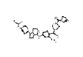 Cc1cc(Nc2nccn3c(-c4ccc(OC(F)F)cc4)cnc23)ccc1C(=O)N1CCN(C(=O)n2ccnc2)CC1